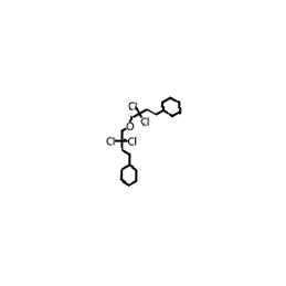 ClC(Cl)(CCC1CCCCC1)COCC(Cl)(Cl)CCC1CCCCC1